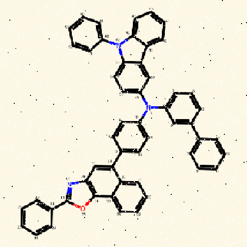 c1ccc(-c2cccc(N(c3ccc(-c4cc5nc(-c6ccccc6)oc5c5ccccc45)cc3)c3ccc4c(c3)c3ccccc3n4-c3ccccc3)c2)cc1